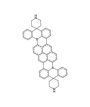 c1ccc2c(c1)B1c3c(cccc3C23CCNCC3)-c2cc3ccc4c5c(cc6ccc1c2c6c35)-c1cccc2c1B4c1ccccc1C21CCNCC1